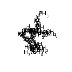 CCCCc1ccc(-c2ccc(C(=O)N[C@@H](CCCNC(=O)OC(C)(C)C)C(=O)N(C)[C@@H]3C(=O)N[C@@H](C)C(=O)N[C@H](C=O)Cc4ccc(OCCNC(=O)OC(C)(C)C)c(c4)-c4cc3ccc4OCCNC(=O)OC(C)(C)C)cc2)cc1